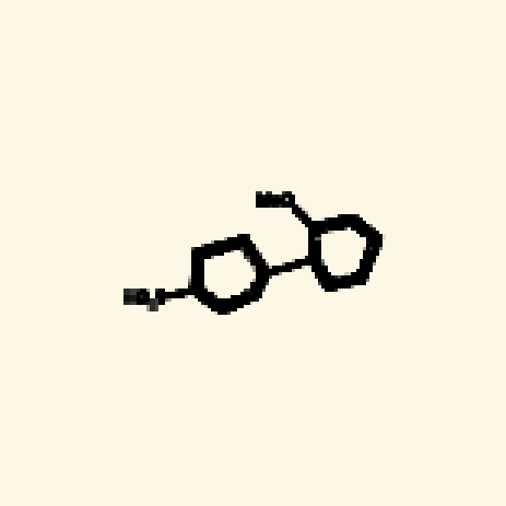 COc1ccccc1-c1ccc(S(=O)(=O)O)cc1